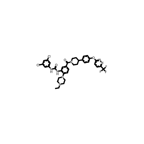 CCN1CCN(c2ccc(C(=O)N3CCC(c4ccc(Oc5ccc(C(F)(F)F)nn5)cc4)CC3)cc2NC(=O)Nc2cc(Cl)cc(Cl)c2)CC1